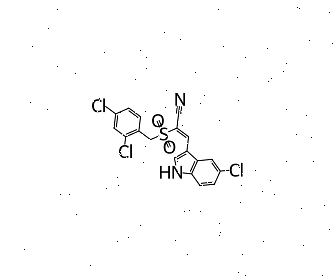 N#CC(=Cc1c[nH]c2ccc(Cl)cc12)S(=O)(=O)Cc1ccc(Cl)cc1Cl